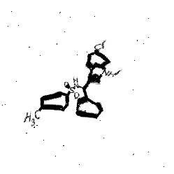 Cc1ccc(S(=O)(=O)N[C@H](c2ccccc2)c2c[nH]c3cc(Cl)ccc23)cc1